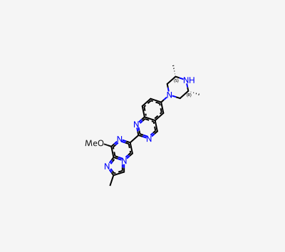 COc1nc(-c2ncc3cc(N4C[C@@H](C)N[C@@H](C)C4)ccc3n2)cn2cc(C)nc12